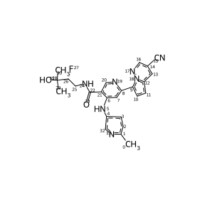 Cc1ccc(Nc2cc(-c3ccc4cc(C#N)cnn34)ncc2C(=O)NC[C@@H](F)C(C)(C)O)cn1